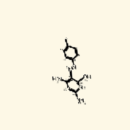 Cc1ccc(/N=N/c2c(N)nc(N)nc2O)cc1